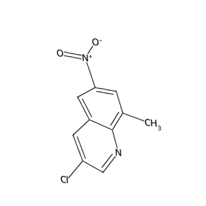 Cc1cc([N+](=O)[O-])cc2cc(Cl)cnc12